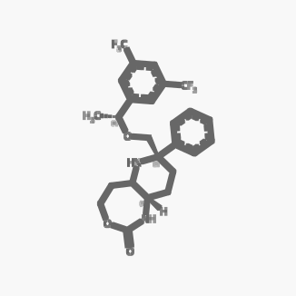 C[C@@H](OC[C@@]1(c2ccccc2)CC[C@@H]2NC(=O)OCCC2N1)c1cc(C(F)(F)F)cc(C(F)(F)F)c1